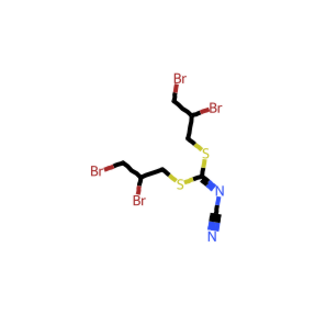 N#CN=C(SCC(Br)CBr)SCC(Br)CBr